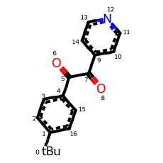 CC(C)(C)c1ccc(C(=O)C(=O)c2ccncc2)cc1